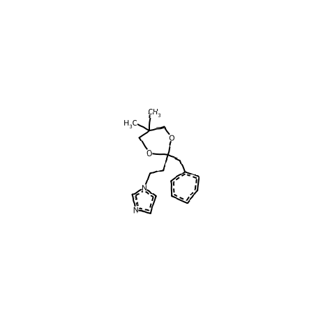 CC1(C)COC(CCn2ccnc2)(Cc2ccccc2)OC1